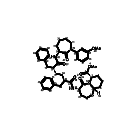 COC(=O)[C@@H]1CCC[C@@H]2SCC[C@H](NC(=O)[C@H](CC[C@H](Cc3ccccc3)C(=O)N[C@H]3CCCCN(c4cccc(OC)c4)C3=O)Cc3ccccc3)C(=O)N21